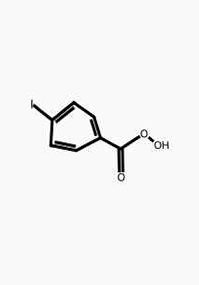 O=C(OO)c1ccc(I)cc1